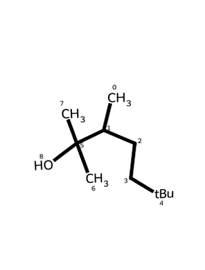 CC(CCC(C)(C)C)C(C)(C)O